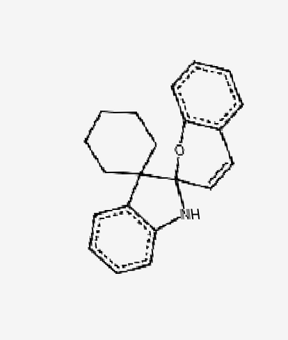 C1=CC2(Nc3ccccc3C23CCCCC3)Oc2ccccc21